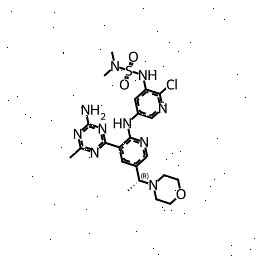 Cc1nc(N)nc(-c2cc([C@@H](C)N3CCOCC3)cnc2Nc2cnc(Cl)c(NS(=O)(=O)N(C)C)c2)n1